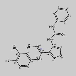 O=C(Nc1ccccc1)Nc1conc1/C(=N/O)Nc1ccc(F)c(Br)c1